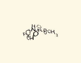 Cc1ccc(CN(C(=O)Nc2ccc(F)c(O)c2)C2CCCC2)o1